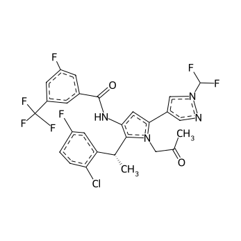 CC(=O)Cn1c(-c2cnn(C(F)F)c2)cc(NC(=O)c2cc(F)cc(C(F)(F)F)c2)c1[C@H](C)c1cc(F)ccc1Cl